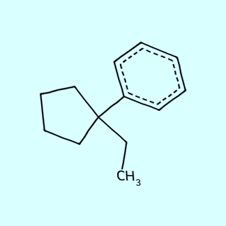 CCC1(c2ccccc2)CCCC1